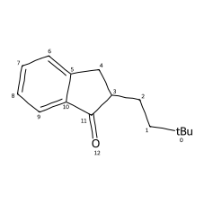 CC(C)(C)CCC1Cc2ccccc2C1=O